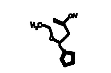 CCOC(CC(=O)O)n1cccc1